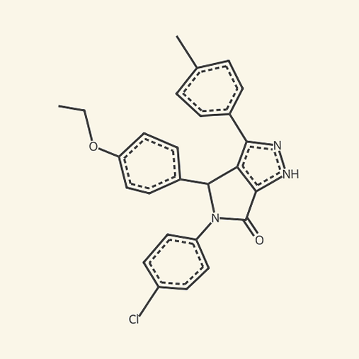 CCOc1ccc(C2c3c(-c4ccc(C)cc4)n[nH]c3C(=O)N2c2ccc(Cl)cc2)cc1